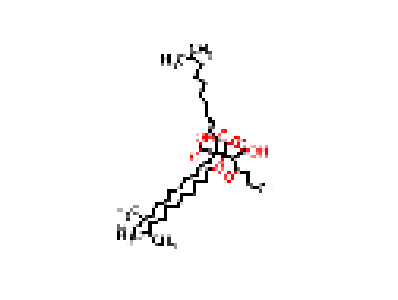 CCCC(=O)C(C(=O)O)C(OCCCCCCCCCC(C)C)(C(=O)O)C(CCCCCCCCCC(C)C)(CCCCCCCCCC(C)C)C(=O)O